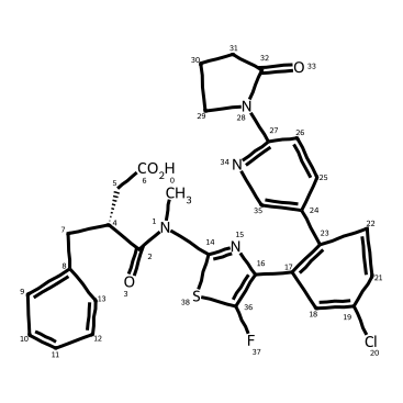 CN(C(=O)[C@@H](CC(=O)O)Cc1ccccc1)c1nc(-c2cc(Cl)ccc2-c2ccc(N3CCCC3=O)nc2)c(F)s1